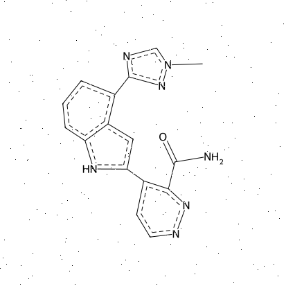 Cn1cnc(-c2cccc3[nH]c(-c4ccnnc4C(N)=O)cc23)n1